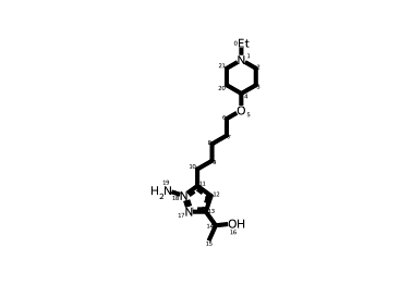 CCN1CCC(OCCCCCc2cc(C(C)O)nn2N)CC1